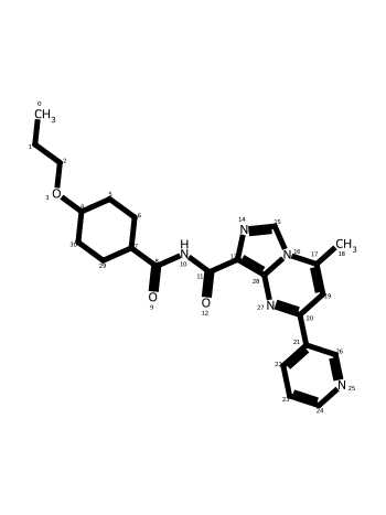 CCCOC1CCC(C(=O)NC(=O)c2ncn3c(C)cc(-c4cccnc4)nc23)CC1